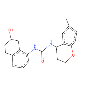 Cc1ccc2c(c1)C(NC(=O)Nc1cccc3c1CC(O)CC3)CCO2